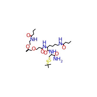 C=C(COCCC(=O)NC(CCCCNC(=O)CCC)C(=O)NC(CSSC(C)(C)C)C(N)=O)OCCNC(=O)CCC